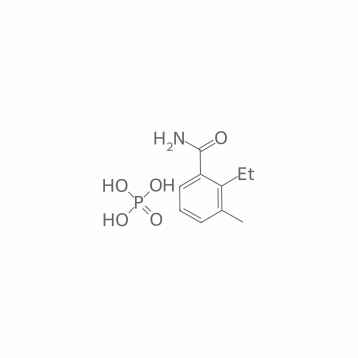 CCc1c(C)cccc1C(N)=O.O=P(O)(O)O